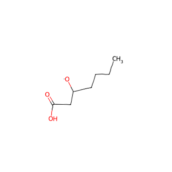 CCCCC([O])CC(=O)O